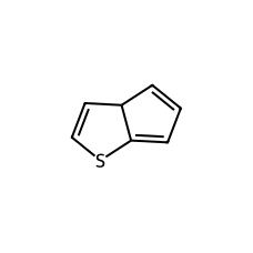 C1=CC2C=CSC2=C1